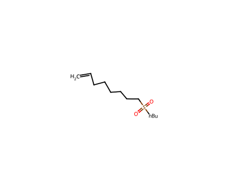 C=CCCCCCCS(=O)(=O)CCCC